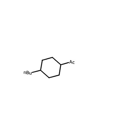 CCCCC1CCC(C(C)=O)CC1